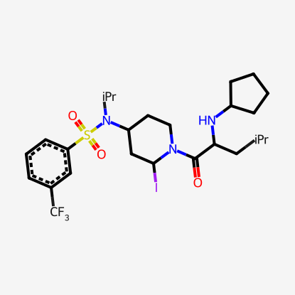 CC(C)CC(NC1CCCC1)C(=O)N1CCC(N(C(C)C)S(=O)(=O)c2cccc(C(F)(F)F)c2)CC1I